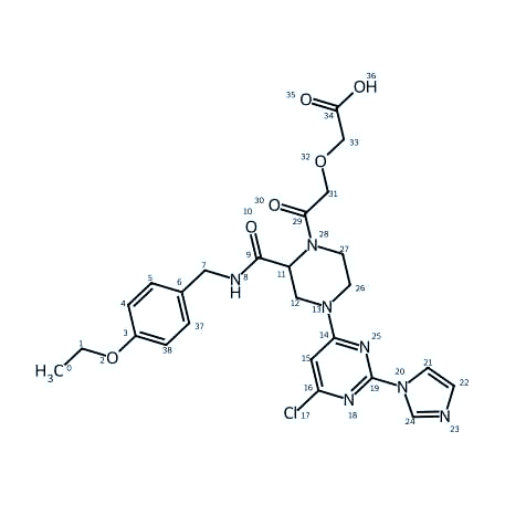 CCOc1ccc(CNC(=O)C2CN(c3cc(Cl)nc(-n4ccnc4)n3)CCN2C(=O)COCC(=O)O)cc1